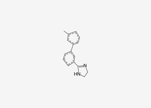 Cc1cccc(-c2cccc(C3=NCCN3)c2)c1